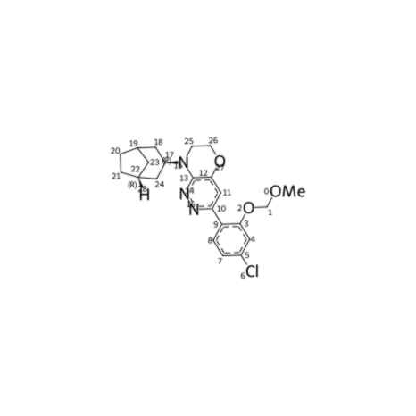 COCOc1cc(Cl)ccc1-c1cc2c(nn1)N([C@@H]1CC3CC[C@H](C3)C1)CCO2